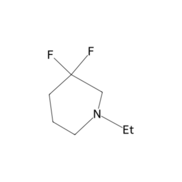 CCN1CCCC(F)(F)C1